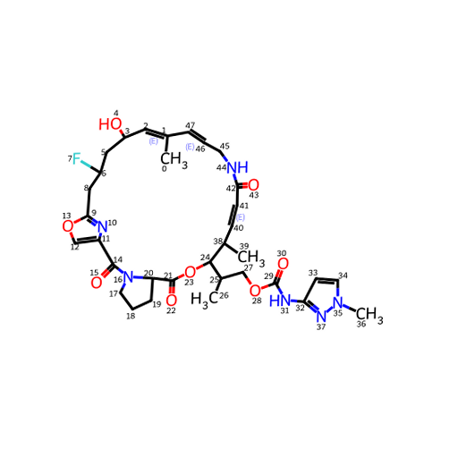 CC1=C\C(O)CC(F)Cc2nc(co2)C(=O)N2CCCC2C(=O)OC(C(C)COC(=O)Nc2ccn(C)n2)C(C)/C=C/C(=O)NC\C=C\1